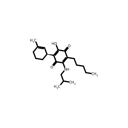 CCCCCC1=C(NCC(C)C)C(=O)C([C@@H]2C=C(C)CCC2)=C(O)C1=O